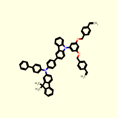 C=Cc1ccc(COc2cc(OCc3ccc(C=C)cc3)cc(-n3c4ccccc4c4cc(-c5ccc(N(c6ccc(-c7ccccc7)cc6)c6ccc7c(c6)C(C)(C)c6ccccc6-7)cc5)ccc43)c2)cc1